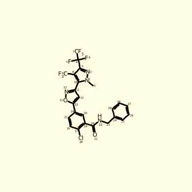 Cn1nc(C(F)(F)C(F)(F)F)c(C(F)(F)F)c1-c1cc(-c2ccc(Cl)c(C(=O)NCc3ccccc3)c2)on1